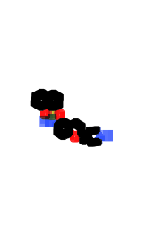 CC1(C2C=Cc3cc(NS(=O)(=O)c4cccc5ccccc45)ccc3O2)CCNCC1